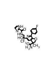 C[C@]1(C(N)=O)COc2c1cc([C@@](O)(CNC(=O)c1ncc[nH]1)C(F)(F)F)nc2-c1ccc(F)cc1